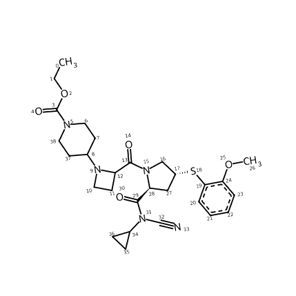 CCOC(=O)N1CCC(N2CCC2C(=O)N2C[C@H](Sc3ccccc3OC)C[C@H]2C(=O)N(C#N)C2CC2)CC1